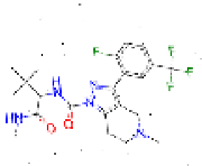 CNC(=O)C(NC(=O)n1nc(-c2cc(C(F)(F)F)ccc2F)c2c1CCN(C)C2)C(C)(C)C